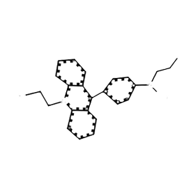 CN(CCO)c1ccc(-c2c3ccccc3[n+](CCO)c3ccccc23)cc1